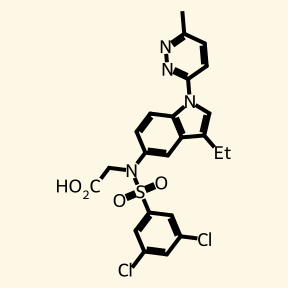 CCc1cn(-c2ccc(C)nn2)c2ccc(N(CC(=O)O)S(=O)(=O)c3cc(Cl)cc(Cl)c3)cc12